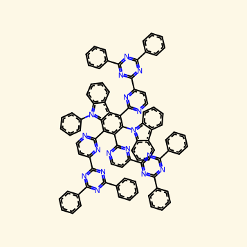 c1ccc(-c2nc(-c3ccccc3)nc(-c3ccnc(-c4c(-n5c6ccccc6c6ccccc65)c(-c5nccc(-c6nc(-c7ccccc7)nc(-c7ccccc7)n6)n5)c5c6ccccc6n(-c6ccccc6)c5c4-c4nccc(-c5nc(-c6ccccc6)nc(-c6ccccc6)n5)n4)n3)n2)cc1